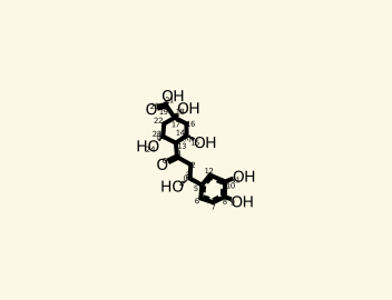 O=C(C[C@@H](O)c1ccc(O)c(O)c1)C1[C@H](O)CC(O)(C(=O)O)C[C@H]1O